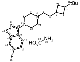 CC(C)(C)C1CC(CCN2CCN(c3nsc4cc(F)ccc34)CC2)C1.NC(=O)O